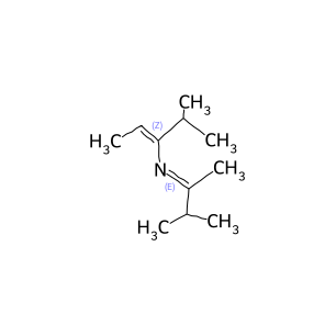 C/C=C(\N=C(/C)C(C)C)C(C)C